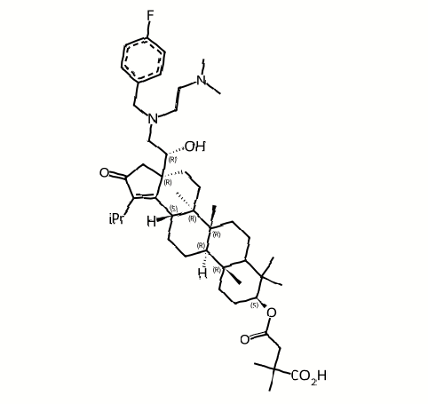 CC(C)C1=C2[C@H]3CC[C@@H]4[C@@]5(C)CC[C@H](OC(=O)CC(C)(C)C(=O)O)C(C)(C)C5CC[C@@]4(C)[C@]3(C)CC[C@@]2([C@@H](O)CN(CCN(C)C)Cc2ccc(F)cc2)CC1=O